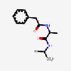 CC(NC(=O)Cc1ccccc1)C(=O)NC(C(=O)O)C(C)C